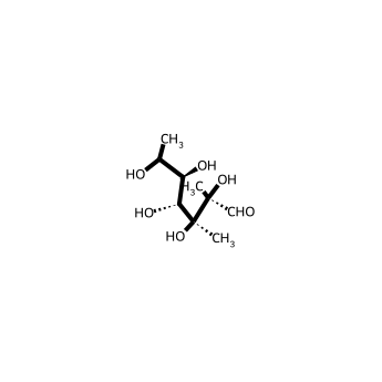 CC(O)[C@@H](O)[C@@H](O)[C@](C)(O)[C@@](C)(O)C=O